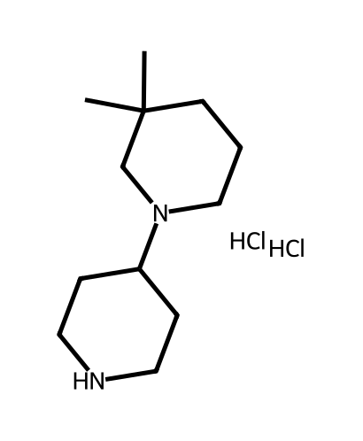 CC1(C)CCCN(C2CCNCC2)C1.Cl.Cl